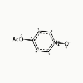 CC(=O)Oc1cc[n+]([O-])cc1